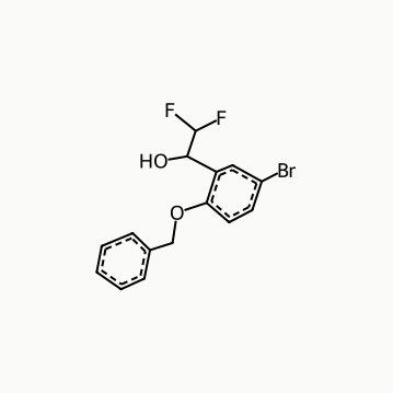 OC(c1cc(Br)ccc1OCc1ccccc1)C(F)F